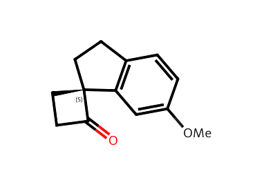 COc1ccc2c(c1)[C@@]1(CCC1=O)CC2